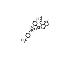 Cc1ccc2cccc(C(O)c3c(Cl)ccc(S(=O)(=O)N(C)Cc4ccc([N+](=O)[O-])cc4)c3Cl)c2n1